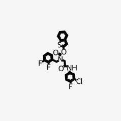 O=C(CN(Cc1cccc(F)c1F)C(=O)Oc1cc2ccccc2s1)Nc1ccc(F)c(Cl)c1